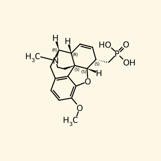 COc1ccc2c3c1O[C@H]1[C@@H](CP(=O)(O)O)C=C[C@H]4[C@@H](C2)N(C)CC[C@@]341